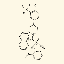 COc1ccccc1[C@H](c1cccc2ccccc12)[C@@](C)(C#N)C(=O)N1CCC(c2ccc(Cl)c(C(F)(F)F)c2)CC1